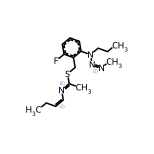 CC/C=C\N=C(/C)SCc1c(F)cccc1N(CCC)/N=N\C